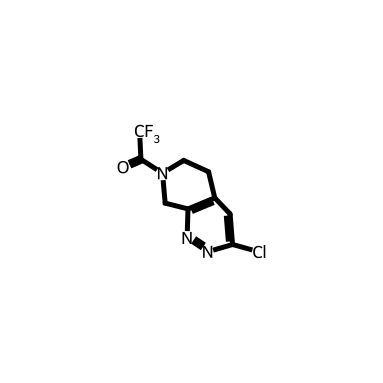 O=C(N1CCc2cc(Cl)nnc2C1)C(F)(F)F